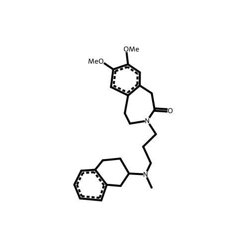 COc1cc2c(cc1OC)CC(=O)N(CCCN(C)C1CCc3ccccc3C1)CC2